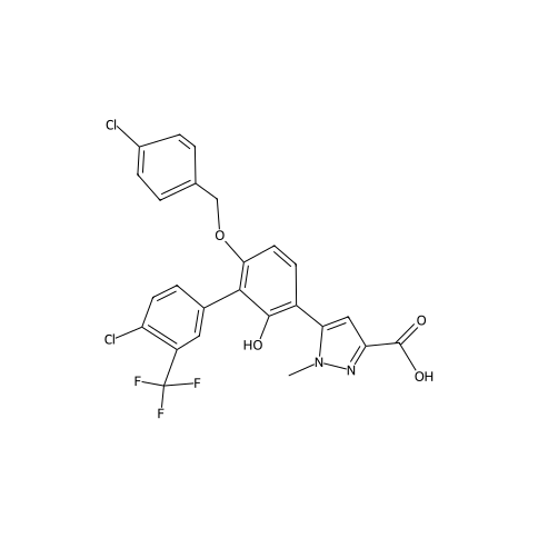 Cn1nc(C(=O)O)cc1-c1ccc(OCc2ccc(Cl)cc2)c(-c2ccc(Cl)c(C(F)(F)F)c2)c1O